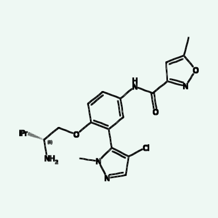 Cc1cc(C(=O)Nc2ccc(OC[C@H](N)C(C)C)c(-c3c(Cl)cnn3C)c2)no1